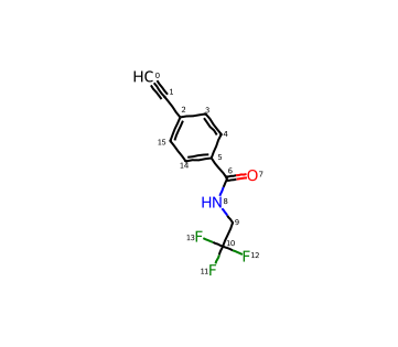 C#Cc1ccc(C(=O)NCC(F)(F)F)cc1